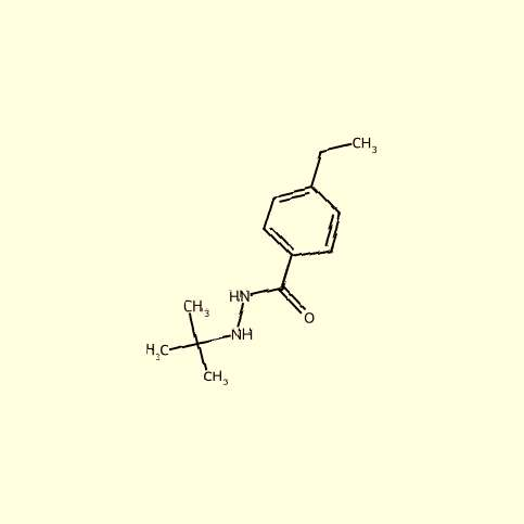 CCc1ccc(C(=O)NNC(C)(C)C)cc1